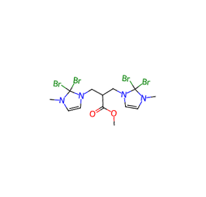 COC(=O)C(CN1C=CN(C)C1(Br)Br)CN1C=CN(C)C1(Br)Br